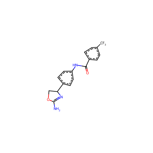 NC1=NC(c2ccc(NC(=O)c3ccc(C(F)(F)F)cc3)cc2)CO1